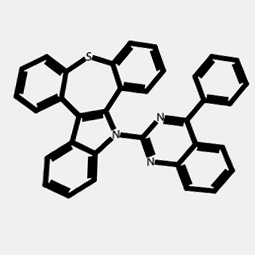 c1ccc(-c2nc(-n3c4c(c5ccccc53)-c3ccccc3Sc3ccccc3-4)nc3ccccc23)cc1